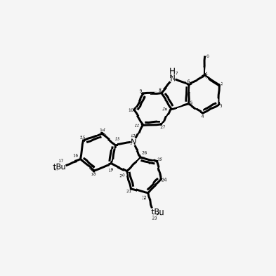 CC1CC=Cc2c1[nH]c1ccc(-n3c4ccc(C(C)(C)C)cc4c4cc(C(C)(C)C)ccc43)cc21